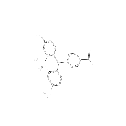 C=c1ccc2c(c1)P(=O)(O)c1cc(N)ccc1C=2c1ccc(C(=O)O)cc1